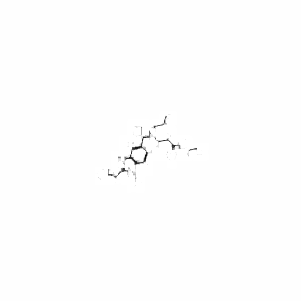 CCCN(CCC(=O)OCC)C(=O)c1ccc2c(c1)nc(CCl)n2C